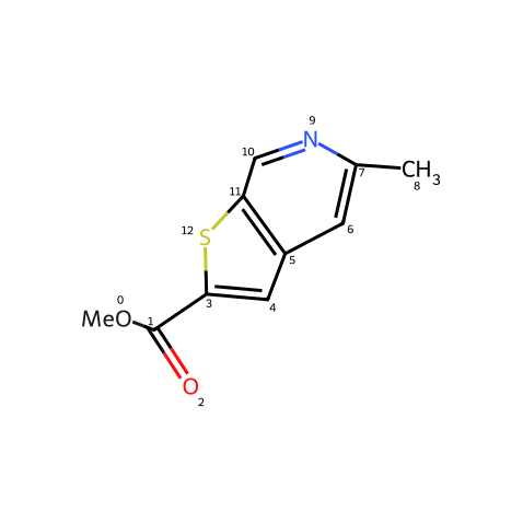 COC(=O)c1cc2cc(C)ncc2s1